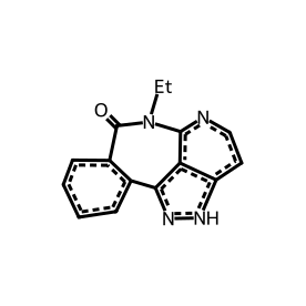 CCN1C(=O)c2ccccc2-c2n[nH]c3ccnc1c23